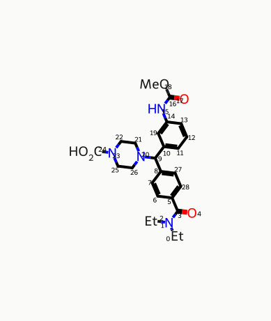 CCN(CC)C(=O)c1ccc(C(c2cccc(NC(=O)OC)c2)N2CCN(C(=O)O)CC2)cc1